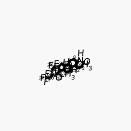 C[C@]12C=CC(=O)NC1CC[C@@H]1[C@H]2CC[C@]2(C)C(C(=O)N(CC(F)(F)F)CC(F)(F)F)CC[C@@H]12